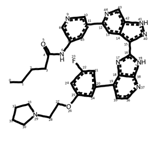 CCCCC(=O)Nc1cncc(-c2cc3c(-c4nc5c(-c6cc(F)cc(OCCN7CCCC7)c6)ccnc5[nH]4)n[nH]c3cn2)c1